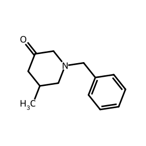 CC1CC(=O)CN(Cc2ccccc2)C1